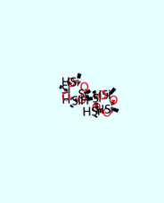 C[SiH]1O[SiH](C)O[Si](C)(C[Si]2(C)O[SiH](C)O[SiH](C)O[SiH](C)O2)O[SiH](C)O1